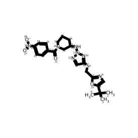 CC(C)(C)c1cnc(CSc2cnn(NC3CCCN(C(=O)c4ccc([N+](=O)[O-])cc4)C3)n2)o1